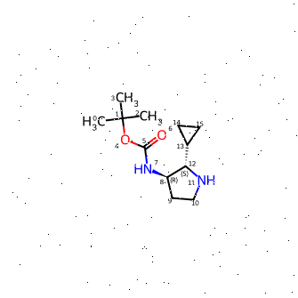 CC(C)(C)OC(=O)N[C@@H]1CCN[C@H]1C1CC1